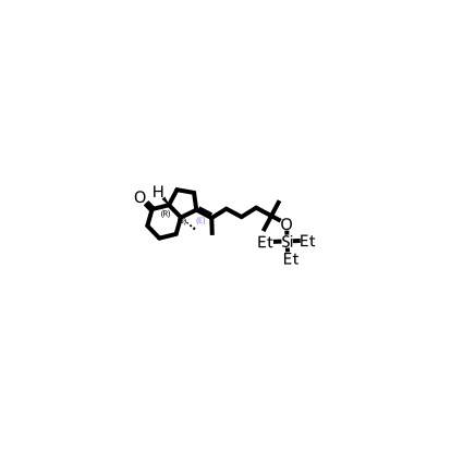 CC[Si](CC)(CC)OC(C)(C)CCC/C(C)=C1\CC[C@H]2C(=O)CCC[C@]12C